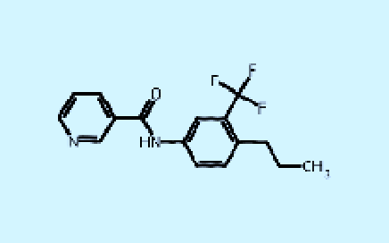 CCCc1ccc(NC(=O)c2cccnc2)cc1C(F)(F)F